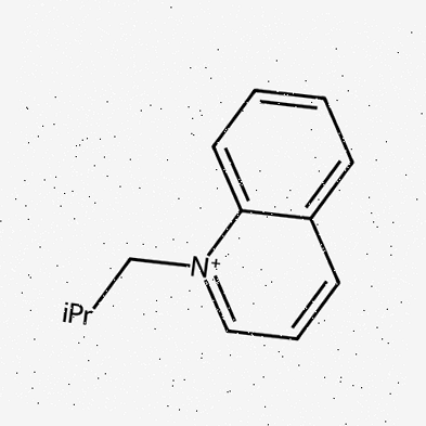 CC(C)C[n+]1cccc2ccccc21